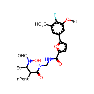 CCCCCC(C(=O)NCNC(=O)c1ccc(-c2cc(OCC)c(F)c(C(=O)O)c2)o1)[C@@H](CC)N(O)C=O